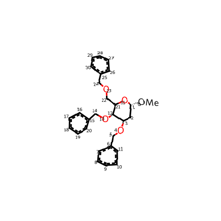 CO[C@@H]1C[C@@H](OCc2ccccc2)[C@@H](OCc2ccccc2)C(COCc2ccccc2)O1